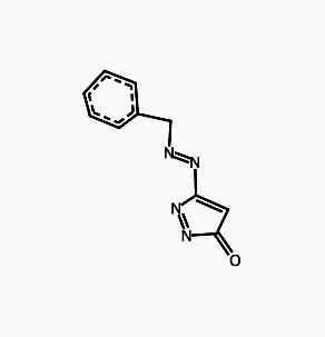 O=C1C=C(N=NCc2ccccc2)N=N1